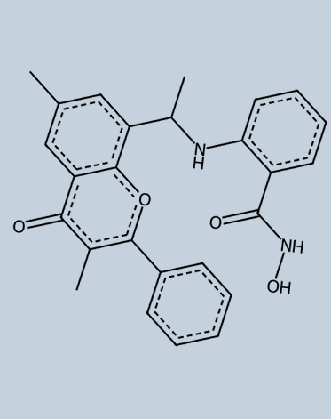 Cc1cc(C(C)Nc2ccccc2C(=O)NO)c2oc(-c3ccccc3)c(C)c(=O)c2c1